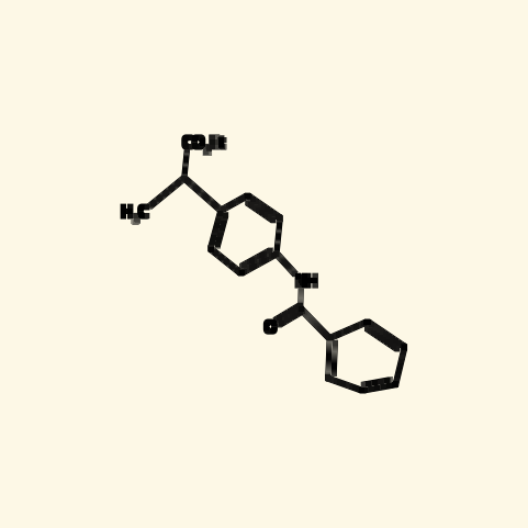 CCOC(=O)C(C)c1ccc(NC(=O)c2ccccc2)cc1